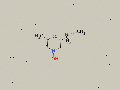 CC.CC1CN(O)CC(C)O1